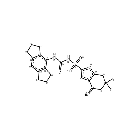 CC1(C)CC(=N)c2cc(S(=O)(=O)NC(=O)Nc3c4c(cc5c3CCC5)CCC4)oc2C1